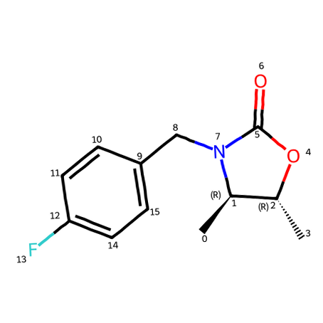 C[C@@H]1[C@@H](C)OC(=O)N1Cc1ccc(F)cc1